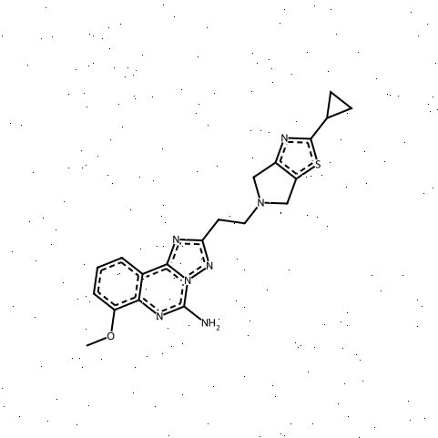 COc1cccc2c1nc(N)n1nc(CCN3Cc4nc(C5CC5)sc4C3)nc21